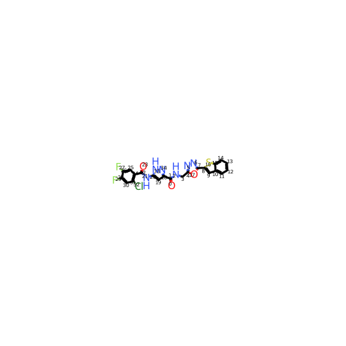 O=C(NCc1nnc(-c2cc3ccccc3s2)o1)c1cc(NC(=O)c2cc(F)c(F)cc2Cl)[nH]n1